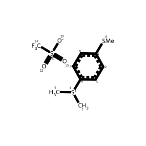 CSc1ccc([S+](C)C)cc1.O=S(=O)([O-])C(F)(F)F